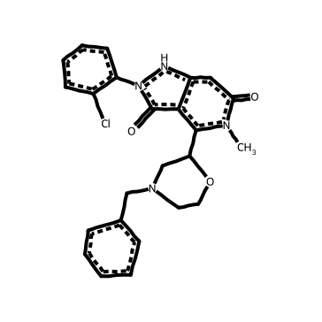 Cn1c(C2CN(Cc3ccccc3)CCO2)c2c(=O)n(-c3ccccc3Cl)[nH]c2cc1=O